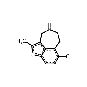 Cc1oc2ccc(Cl)c3c2c1CNCC3